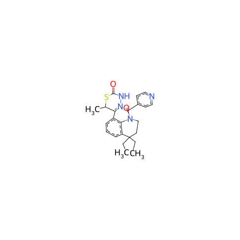 CCC1(CC)CCN(C(=O)c2ccncc2)c2c(C3=NNC(=O)SC3C)cccc21